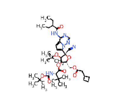 CCC(CC)C(=O)Nc1ncnn2c([C@]3(C#N)O[C@H](COC(=O)CC4CCC4)[C@@H](OC(=O)[C@@H](NC(=O)OC(C)(C)C)C(C)(C)C)[C@H]3O[Si](C)(C)C)ccc12